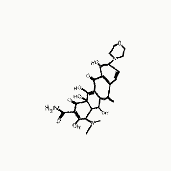 CC1c2ccc(N3CCOCC3)c(O)c2C(=O)C2=C(O)C3(O)C(=O)C(C(N)=O)=C(O)C(N(C)C)C3C(O)C21